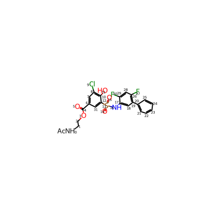 CC(=O)NCCOC(=O)c1cc(Cl)c(O)c(S(=O)(=O)Nc2cc(-c3ccccc3)c(F)cc2F)c1